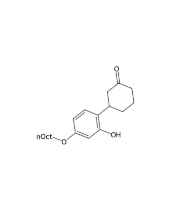 CCCCCCCCOc1ccc(C2CCCC(=O)C2)c(O)c1